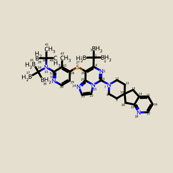 BC(B)(B)c1nc(N2CCC3(CC2)Cc2cccnc2C3)n2ccnc2c1Sc1ccnc(N(C(B)(B)B)C(B)(C)C)c1C